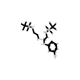 CC(C)(C)[Si](C)(C)OCCC[C@H](CO[Si](C)(C)C(C)(C)C)Oc1cccc(Cl)c1